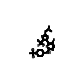 CN(C)Cc1nc(C(F)(F)F)c(-c2nc(NC3CCN(S(C)(=O)=O)CC3)ncc2F)s1